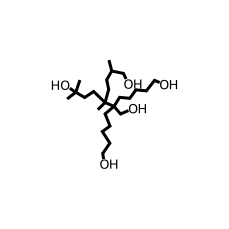 CC(CO)CCC(C)(CCC(C)(C)O)C(CO)(CCCCCO)CCCCCO